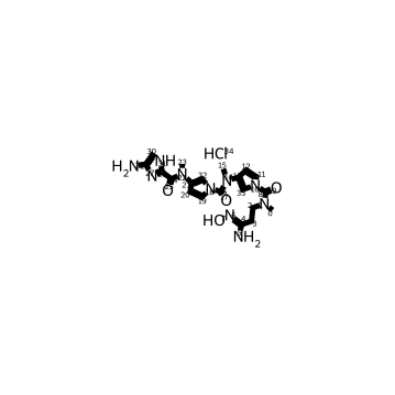 CN(CCC(N)=NO)C(=O)n1ccc(N(C)C(=O)n2ccc(N(C)C(=O)c3nc(N)c[nH]3)c2)c1.Cl